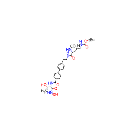 C[C@@H](O)[C@H](NC(=O)c1ccc(-c2ccc(CCNC(=O)C(CCCNC(=O)OC(C)(C)C)NC(=O)O)cc2)cc1)C(=O)NO